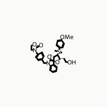 COc1ccc([Si](C)(C)[C@H]2[C@H](CCO)O[C@@]3(C(=O)N(Cc4ccc(N5CCOC5=O)cc4)c4ccccc43)[C@@H]2C)cc1